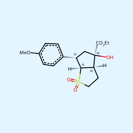 CCOC(=O)[C@@]1(O)C[C@@H](c2ccc(OC)cc2)[C@H]2[C@@H]1CCS2(=O)=O